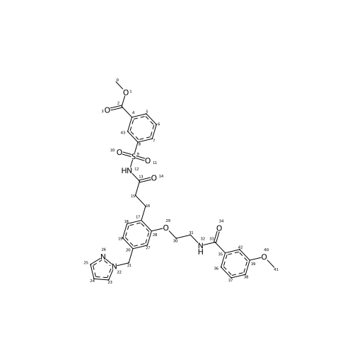 COC(=O)c1cccc(S(=O)(=O)NC(=O)CCc2ccc(Cn3cccn3)cc2OCCNC(=O)c2cccc(OC)c2)c1